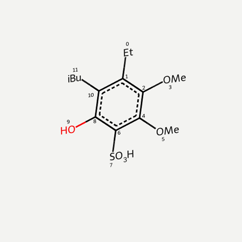 CCc1c(OC)c(OC)c(S(=O)(=O)O)c(O)c1C(C)CC